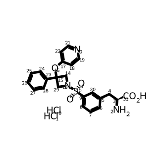 Cl.Cl.N[C@@H](Cc1cccc(S(=O)(=O)N2CC(Oc3ccncc3)(c3ccccc3)C2)c1)C(=O)O